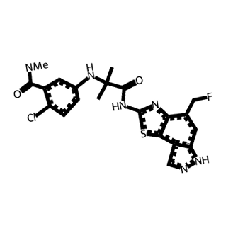 CNC(=O)c1cc(NC(C)(C)C(=O)Nc2nc3c(CF)cc4[nH]ncc4c3s2)ccc1Cl